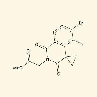 COC(=O)CN1C(=O)c2ccc(Br)c(F)c2C2(CC2)C1=O